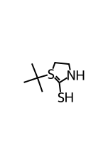 CC(C)(C)S1=C(S)NCC1